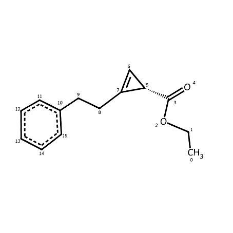 CCOC(=O)[C@H]1C=C1CCc1ccccc1